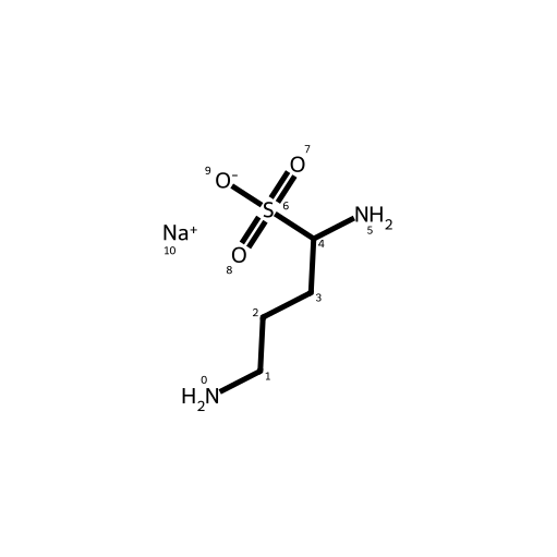 NCCCC(N)S(=O)(=O)[O-].[Na+]